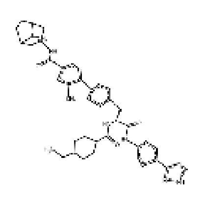 Cc1cc(C(=O)NC2CC3CCC(C2)N3C)ccc1-c1ccc(C[C@H](NC(=O)C2CCC(CN)CC2)C(=O)Nc2ccc(-c3nn[nH]n3)cc2)cc1